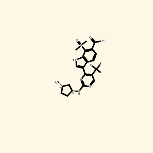 CP(C)(=O)c1c(C(=O)O)ccc2c(-c3nc(N[C@H]4CC[C@H](N)C4)ncc3C(F)(F)F)c[nH]c12